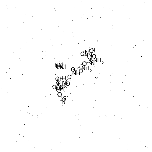 Cc1ncsc1-c1ccc(CNC(=O)[C@@H]2C[C@@H](O)CN2C(=O)[C@@H](NC(=O)CCOCCNC(=O)CCC(Cc2ccc(-c3cnc(N)c(C(=O)Nc4cnccc4N4CCOCC4)n3)cc2)C(N)=O)C(C)(C)C)cc1.Cl.Cl.Cl